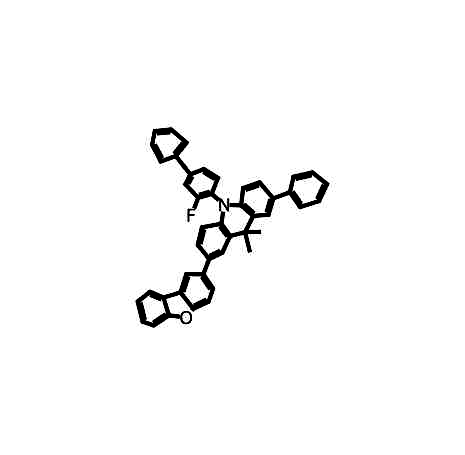 CC1(C)c2cc(-c3ccccc3)ccc2N(c2ccc(-c3ccccc3)cc2F)c2ccc(-c3ccc4oc5ccccc5c4c3)cc21